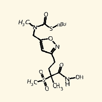 CCCCSC(=O)N(C)Cc1cc(CCC(C)(C(=O)NO)S(C)(=O)=O)no1